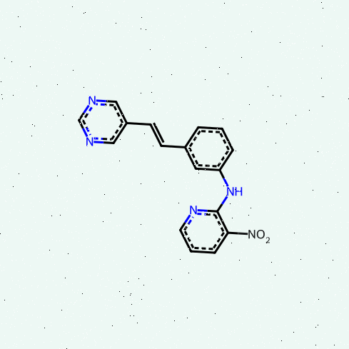 O=[N+]([O-])c1cccnc1Nc1cccc(C=Cc2cncnc2)c1